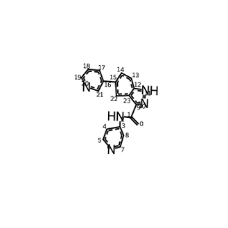 C=C(Nc1ccncc1)c1n[nH]c2ccc(-c3cccnc3)cc12